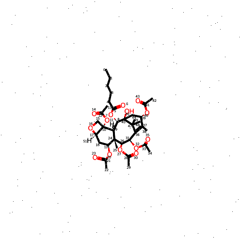 CCCCCC(=O)O[C@H]1[C@@H]2[C@]3(OC(C)=O)CO[C@@H]3C[C@H](OC(C)=O)[C@@]2(C)[C@H](OC(C)=O)[C@H](OC(C)=O)C2=C(C)[C@@H](OC(C)=O)C[C@]1(O)C2(C)C